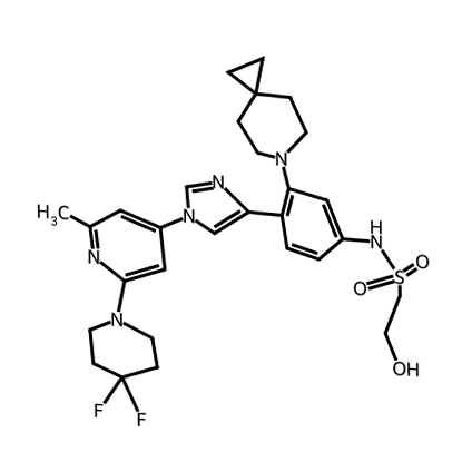 Cc1cc(-n2cnc(-c3ccc(NS(=O)(=O)CCO)cc3N3CCC4(CC3)CC4)c2)cc(N2CCC(F)(F)CC2)n1